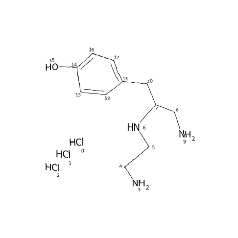 Cl.Cl.Cl.NCCNC(CN)Cc1ccc(O)cc1